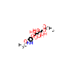 CC(=O)Nc1ccc(OC(=O)[C@@H](O)[C@@H](O)[C@H](O)[C@H](O)COC(C)=O)cc1